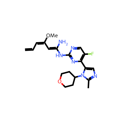 C=C/C=C(\C=C(/N)Nc1ncc(F)c(-c2cnc(C)n2C2CCOCC2)n1)OC